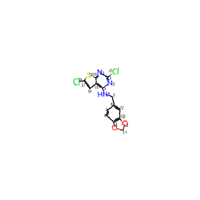 Clc1nc(NCc2ccc3c(c2)OCO3)c2cc(Cl)sc2n1